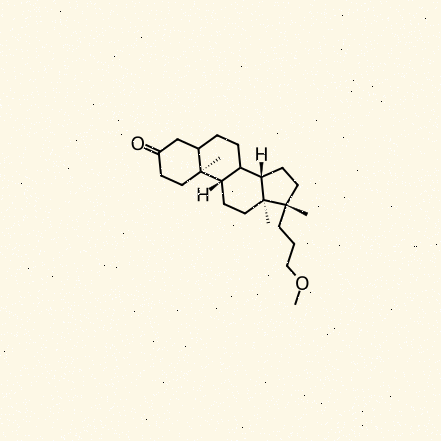 COCCC[C@@]1(C)CC[C@H]2C3CCC4CC(=O)CC[C@]4(C)[C@H]3CC[C@@]21C